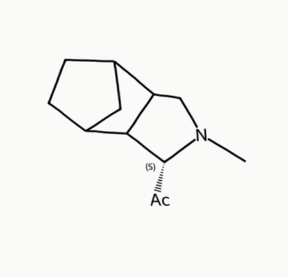 CC(=O)[C@@H]1C2C3CCC(C3)C2CN1C